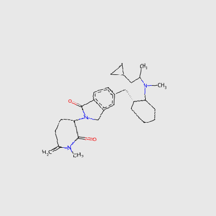 C=C1CCC(N2Cc3cc(C[C@H]4CCCCC4N(C)C(C)CC4CC4)ccc3C2=O)C(=O)N1C